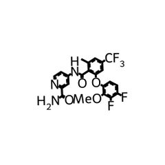 COc1c(Oc2cc(C(F)(F)F)cc(C)c2C(=O)Nc2ccnc(C(N)=O)c2)ccc(F)c1F